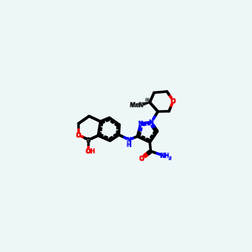 CN[C@H]1CCOCC1n1cc(C(N)=O)c(Nc2ccc3c(c2)B(O)OCC3)n1